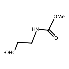 COC(=O)NCC[C]=O